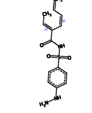 C=C/C=C\C(=C/C)C(=O)NS(=O)(=O)c1ccc(NN)cc1